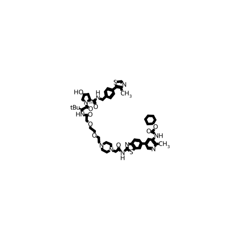 Cc1ncc(-c2ccc3nc(NC(=O)CN4CCN(CCOCCOCC(=O)N[C@H](C(=O)N5C[C@H](O)C[C@H]5C(=O)NCc5ccc(-c6scnc6C)cc5)C(C)(C)C)CC4)sc3c2)cc1NC(=O)OC1CCCCC1